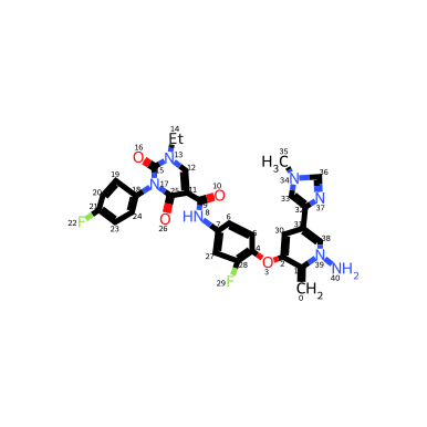 C=C1C(Oc2ccc(NC(=O)c3cn(CC)c(=O)n(-c4ccc(F)cc4)c3=O)cc2F)=CC(c2cn(C)cn2)=CN1N